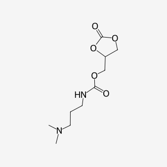 CN(C)CCCNC(=O)OCC1COC(=O)O1